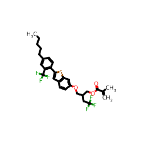 C=C(C)C(=O)OCC(COc1ccc2cc(-c3ccc(CCCCC)cc3C(F)(F)F)sc2c1)CC(F)(F)F